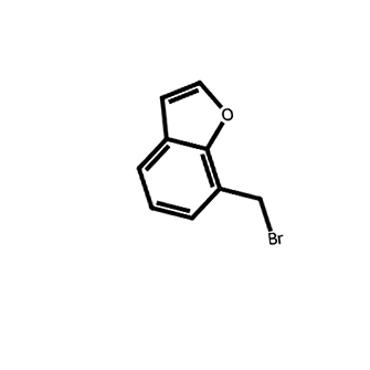 BrCc1cccc2ccoc12